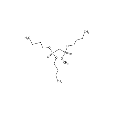 CCCCOP(=O)(CP(=O)(OCCCC)OCCCC)OC